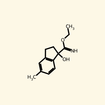 CCOC(=N)C1(O)CCc2cc(C)ccc21